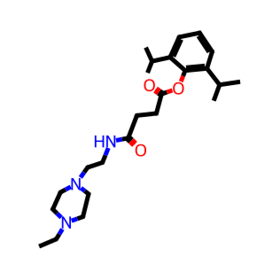 CCN1CCN(CCNC(=O)CCC(=O)Oc2c(C(C)C)cccc2C(C)C)CC1